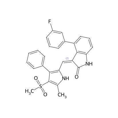 Cc1[nH]c(/C=C2\C(=O)Nc3cccc(-c4cccc(F)c4)c32)c(-c2ccccc2)c1S(C)(=O)=O